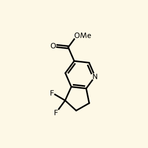 COC(=O)c1cnc2c(c1)C(F)(F)CC2